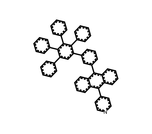 c1ccc(-c2cc(-c3cccc(-c4c5ccccc5c(-c5ccncc5)c5ccccc45)c3)c(-c3ccccc3)c(-c3ccccc3)c2-c2ccccc2)cc1